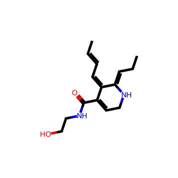 C/C=C/C=C1\C(=CCC)NCC=C1C(=O)NCCO